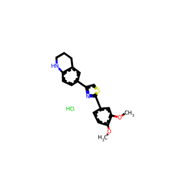 COc1ccc(-c2nc(-c3ccc4c(c3)CCCN4)cs2)cc1OC.Cl